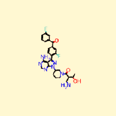 C/C(O)=C(/CN)C(=O)N1CCCC(n2nc(-c3ccc(C(=O)c4cccc(F)c4)cc3F)c3c(N)ncnc32)C1